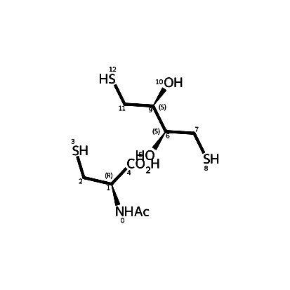 CC(=O)N[C@@H](CS)C(=O)O.O[C@H](CS)[C@H](O)CS